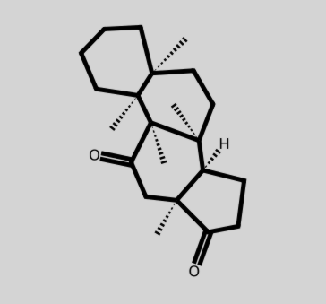 C[C@@]12CCCC[C@]1(C)[C@]1(C)C(=O)C[C@]3(C)C(=O)CC[C@@H]3[C@]1(C)CC2